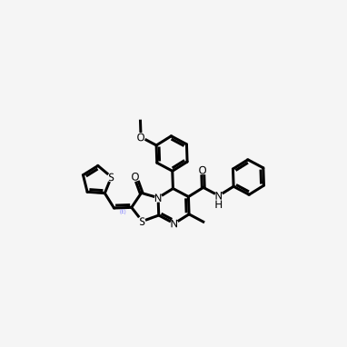 COc1cccc(C2C(C(=O)Nc3ccccc3)=C(C)N=c3s/c(=C/c4cccs4)c(=O)n32)c1